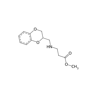 COC(=O)CCNCC1COc2ccccc2O1